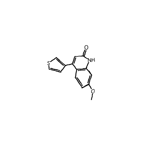 COc1ccc2c(-c3ccsc3)cc(=O)[nH]c2c1